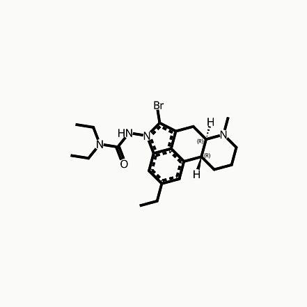 CCc1cc2c3c(c(Br)n(NC(=O)N(CC)CC)c3c1)C[C@@H]1[C@@H]2CCCN1C